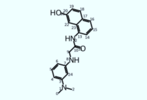 CN(C)c1cccc(NCC(=O)Nc2cccc3ccc(O)cc23)c1